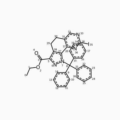 CCOC(=O)c1nn(C(c2ccccc2)(c2ccccc2)c2ccccc2)c2c1CCc1cnc(I)nc1-2